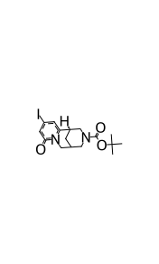 CC(C)(C)OC(=O)N1CC2C[C@@H](C1)c1cc(I)cc(=O)n1C2